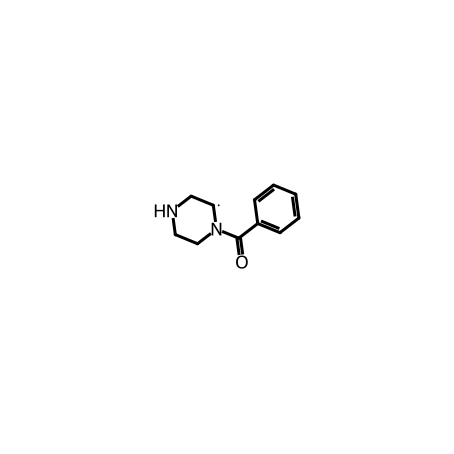 O=C(c1ccccc1)N1[CH]CNCC1